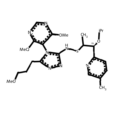 COCCCc1nnc(NSC(C)[C@@H](OC(C)C)c2ccc(C)cn2)n1-c1c(OC)ncnc1OC